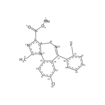 Cc1nc(C(=O)OC(C)(C)C)c2n1-c1ccc(Cl)cc1C(c1ccccc1F)=NC2